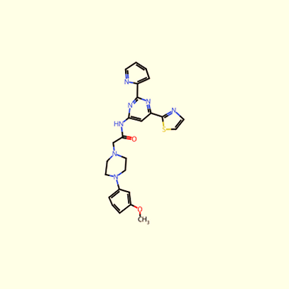 COc1cccc(N2CCN(CC(=O)Nc3cc(-c4nccs4)nc(-c4ccccn4)n3)CC2)c1